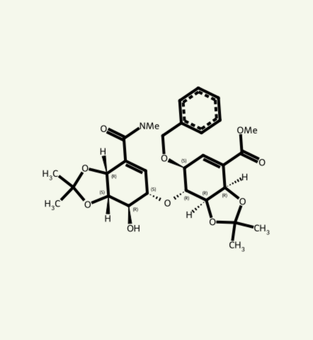 CNC(=O)C1=C[C@H](O[C@H]2[C@@H]3OC(C)(C)O[C@@H]3C(C(=O)OC)=C[C@@H]2OCc2ccccc2)[C@@H](O)[C@@H]2OC(C)(C)O[C@H]12